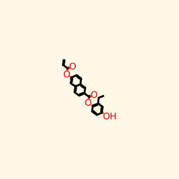 C=CC(=O)Oc1ccc2cc(C(=O)Oc3ccc(O)cc3CC)ccc2c1